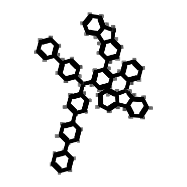 c1ccc(-c2ccc(-c3ccc(N(c4ccc(-c5ccccc5)cc4)c4ccc(-c5ccccc5-n5c6ccccc6c6ccccc65)c(-c5ccc6oc7ccccc7c6c5)c4)cc3)cc2)cc1